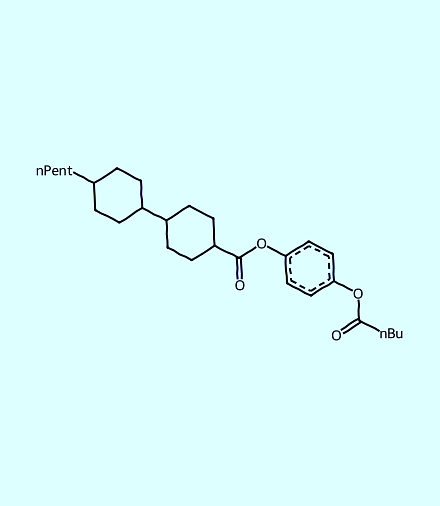 CCCCCC1CCC(C2CCC(C(=O)Oc3ccc(OC(=O)CCCC)cc3)CC2)CC1